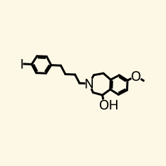 COc1ccc2c(c1)CCN(CCCCc1ccc(I)cc1)CC2O